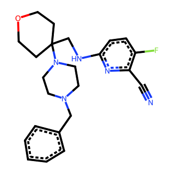 N#Cc1nc(NCC2(N3CCN(Cc4ccccc4)CC3)CCOCC2)ccc1F